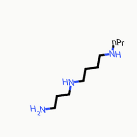 C[CH]CNCCCCNCCCN